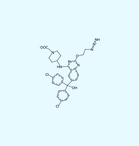 N=[N+]=NCCOc1nc(NC2CCN(C(=O)[O-])CC2)c2cc(C(O)(c3ccc(Cl)cc3)c3ccc(Cl)cc3)ccc2n1